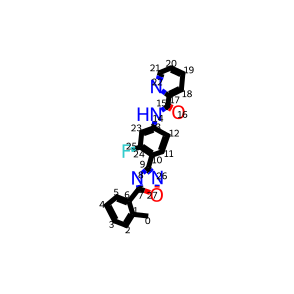 Cc1ccccc1-c1nc(-c2ccc(NC(=O)c3ccccn3)cc2F)no1